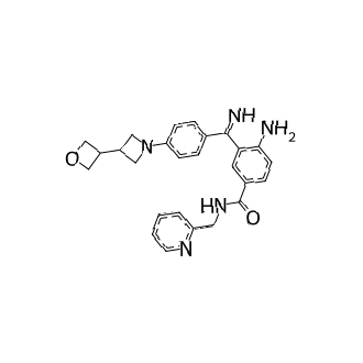 N=C(c1ccc(N2CC(C3COC3)C2)cc1)c1cc(C(=O)NCc2ccccn2)ccc1N